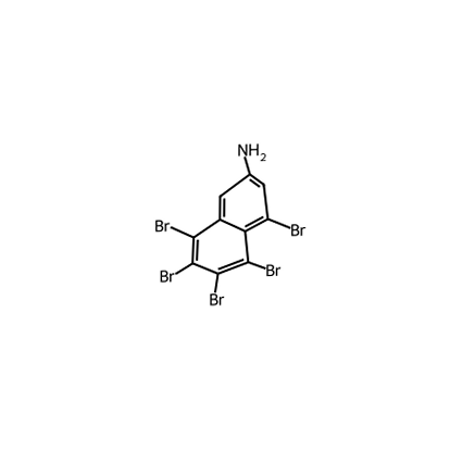 Nc1cc(Br)c2c(Br)c(Br)c(Br)c(Br)c2c1